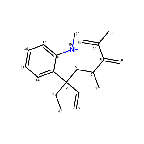 C=CC(CC)(CC(C)C(=C)C(=C)C)c1ccccc1NC